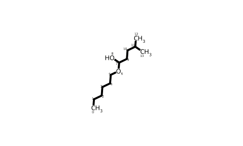 CCCCCCOC(O)CCC(C)C